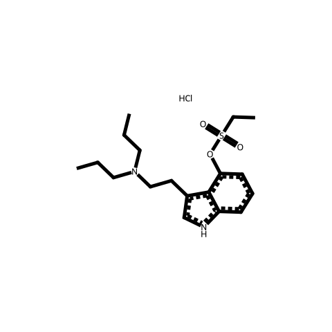 CCCN(CCC)CCc1c[nH]c2cccc(OS(=O)(=O)CC)c12.Cl